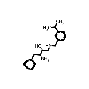 CC(C)c1cccc(CNC[C@@H](O)[C@@H](N)Cc2ccccc2)c1